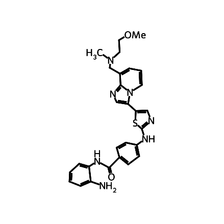 COCCN(C)Cc1cccn2c(-c3cnc(Nc4ccc(C(=O)Nc5ccccc5N)cc4)s3)cnc12